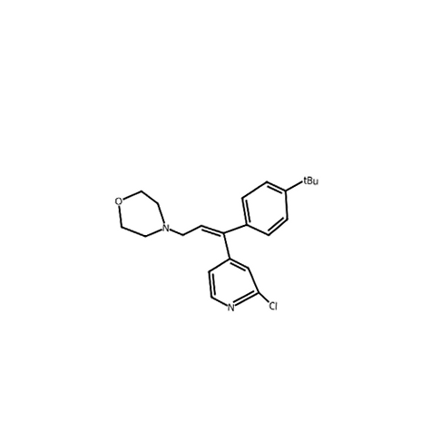 CC(C)(C)c1ccc(C(=CCN2CCOCC2)c2ccnc(Cl)c2)cc1